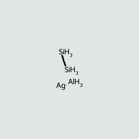 [Ag].[AlH3].[SiH3][SiH3]